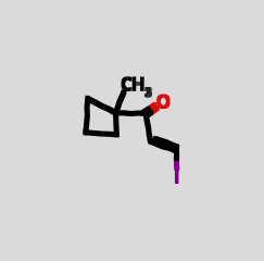 CC1(C(=O)C=CI)CCC1